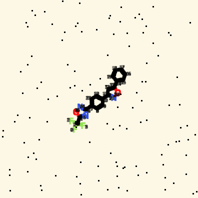 FC(F)(F)c1nc(-c2ccc(-c3cc(-c4ccccc4)on3)cc2)no1